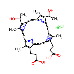 CC1=C(CCC(=O)O)c2cc3[nH]c(cc4nc(cc5[nH]c(cc1n2)c(C)c5C(C)O)C(C)=C4C(C)O)c(C)c3CCC(=O)O.Cl.Cl